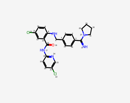 N=C(c1ccc(CNc2ccc(Cl)cc2C(=O)Nc2ccc(Cl)cn2)cc1)N1CCCC1